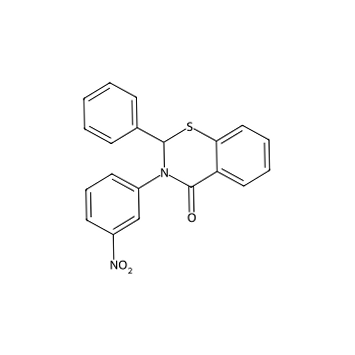 O=C1c2ccccc2SC(c2ccccc2)N1c1cccc([N+](=O)[O-])c1